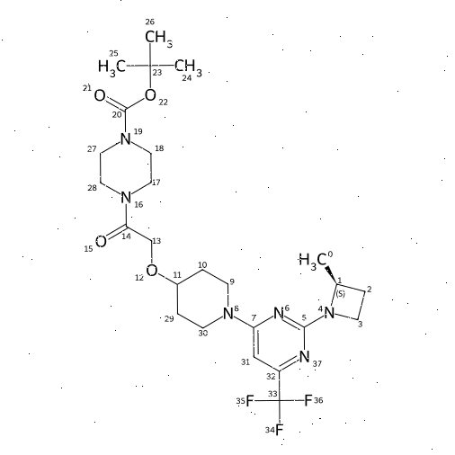 C[C@H]1CCN1c1nc(N2CCC(OCC(=O)N3CCN(C(=O)OC(C)(C)C)CC3)CC2)cc(C(F)(F)F)n1